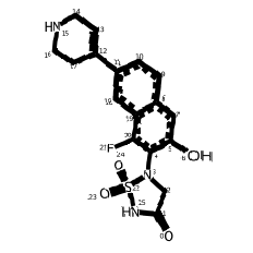 O=C1CN(c2c(O)cc3ccc(C4=CCNCC4)cc3c2F)S(=O)(=O)N1